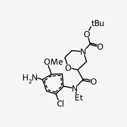 CCN(C(=O)C1CN(C(=O)OC(C)(C)C)CCO1)c1cc(OC)c(N)cc1Cl